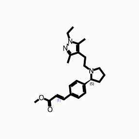 CCn1nc(C)c(CCN2CCC[C@H]2c2ccc(/C=C/C(=O)OC)cc2)c1C